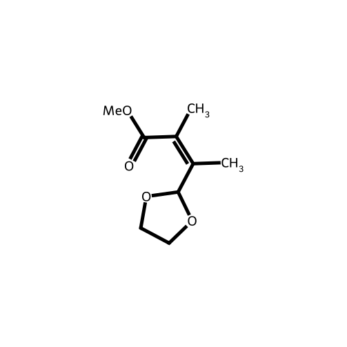 COC(=O)C(C)=C(C)C1OCCO1